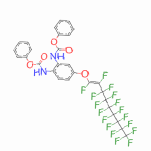 O=C(Nc1ccc(OC(F)=C(F)C(F)(F)C(F)(F)C(F)(F)C(F)(F)C(F)(F)C(F)(F)C(F)(F)F)cc1NC(=O)Oc1ccccc1)Oc1ccccc1